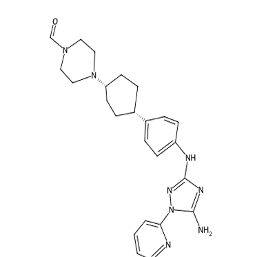 Nc1nc(Nc2ccc([C@H]3CC[C@@H](N4CCN(C=O)CC4)CC3)cc2)nn1-c1ccccn1